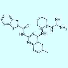 Cc1ccc2nc(NC(=O)c3cc4ccccc4s3)nc(N[C@H]3CCCC[C@H]3NC(=N)N)c2c1